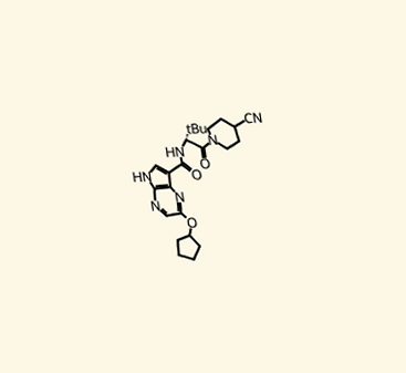 CC(C)(C)[C@@H](NC(=O)c1c[nH]c2ncc(OC3CCCC3)nc12)C(=O)N1CCC(C#N)CC1